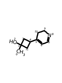 CC1(O)CC(C2=CC=NCC2)C1